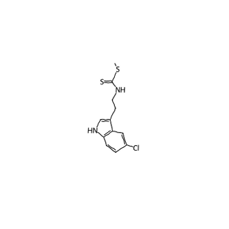 CSC(=S)NCCc1c[nH]c2ccc(Cl)cc12